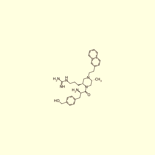 C[C@@H]1CN(C(=O)[C@H](N)Cc2ccc(CO)cc2)[C@@H](CCCNC(=N)N)CN1CCc1ccc2ccccc2c1